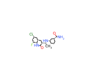 C[C@H](Nc1cccc(C(N)=O)c1)c1cc2cc(Cl)cc(F)c2[nH]c1=O